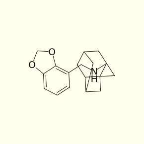 c1cc(CNC23CC4CC5CC2(C3)C5C4)c2c(c1)OCO2